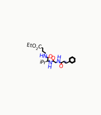 CCOC(=O)CCCNC(=O)[C@@H](NC(=O)CNC(=O)/C=C/c1ccccc1)C(C)C